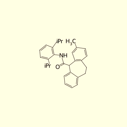 Cc1ccc2c(c1)C(C(=O)Nc1c(C(C)C)cccc1C(C)C)c1ccccc1CC2